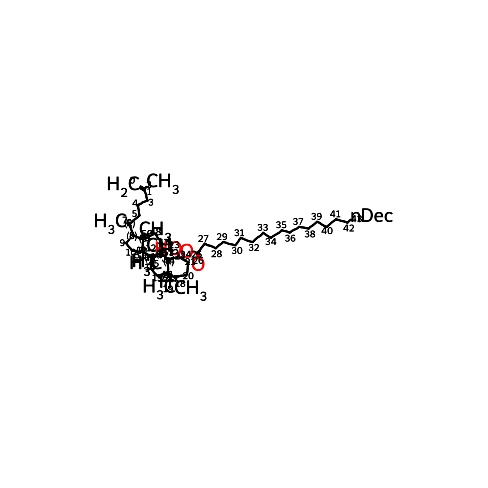 C=C(C)CCC[C@@H](C)[C@@H]1CC[C@]2(C)[C@@H]3CC[C@H]4C(C)(C)CCC(O)(OC(=O)CCCCCCCCCCCCCCCCCCCCCCCCCC)[C@]4(C)[C@H]3CC[C@@]12C